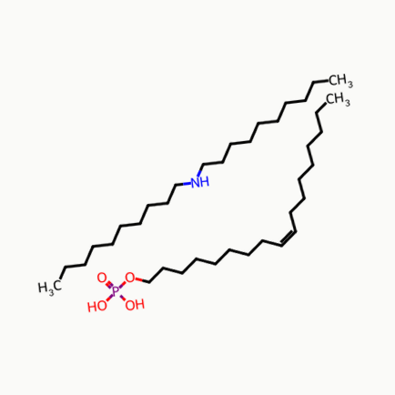 CCCCCCCC/C=C\CCCCCCCCOP(=O)(O)O.CCCCCCCCCCNCCCCCCCCCC